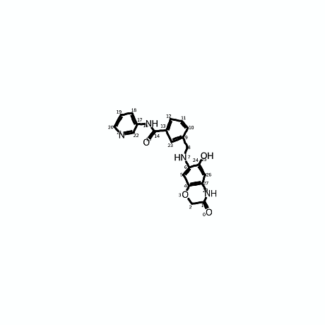 O=C1COc2cc(NCc3cccc(C(=O)Nc4cccnc4)c3)c(O)cc2N1